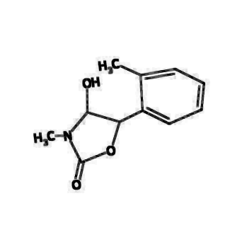 Cc1ccccc1C1OC(=O)N(C)C1O